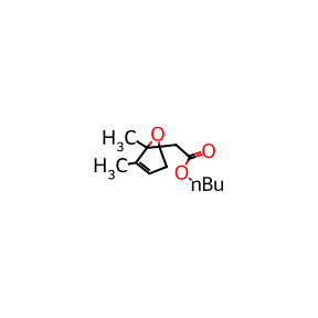 CCCCOC(=O)CC12CC=C(C)C1(C)O2